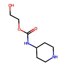 O=C(NC1CCNCC1)OCCO